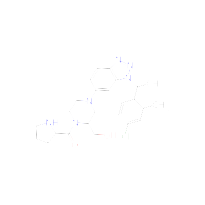 Cc1cc(Cl)ccc1C(C)n1nnc2ccc(N3CCN(C(=O)C4CCCN4)C(CO)C3)cc21